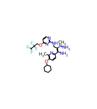 Cc1nc(/C(N)=C(\CNc2nccc(OCC(F)(F)C(F)F)n2)N(C)N)ccc1OC1CCCCC1